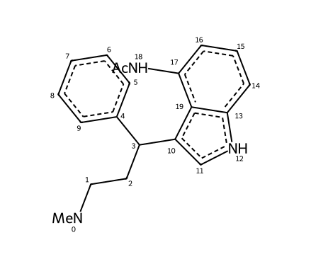 CNCCC(c1ccccc1)c1c[nH]c2cccc(NC(C)=O)c12